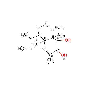 CCC(C)C1CCC(C)C2(C)C(O)C(O)C(C)CC12C